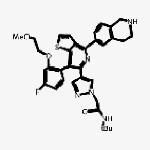 COCCOc1cc(F)ccc1-c1c(-c2cnn(CC(=O)NC(C)(C)C)c2)nc(-c2ccc3c(c2)CCNC3)c2ccsc12